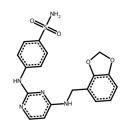 NS(=O)(=O)c1ccc(Nc2nccc(NCc3cccc4c3OCO4)n2)cc1